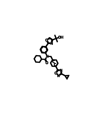 CC(C)(O)c1coc(-c2cccc(N(CC34CCC(c5nc(C6CC6)no5)(CC3)CC4)C(=O)C3CCCCC3)c2)n1